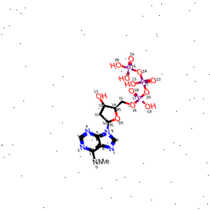 CNc1ncnc2c1ncn2[C@H]1CC(O)[C@@H](COP(=O)(O)OP(=O)(O)OP(=O)(O)O)O1